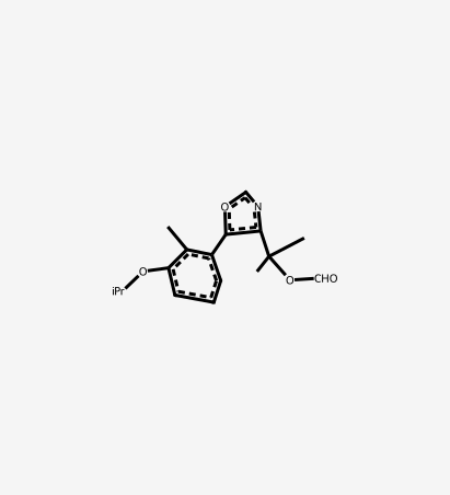 Cc1c(OC(C)C)cccc1-c1ocnc1C(C)(C)OC=O